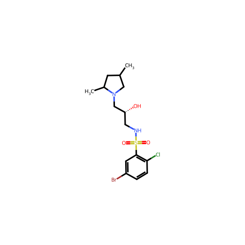 CC1CC(C)N(C[C@H](O)CNS(=O)(=O)c2cc(Br)ccc2Cl)C1